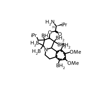 Bc1c2c(c(B)c(OC)c1OC)C1N(CC2)C(B)(B)C(B)(CC(C)C)C(OC(=O)[C@@H](N)C(C)C)C1(B)B